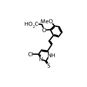 COc1cccc(/C=C/c2cc(Cl)nc(=S)[nH]2)c1OCC(=O)O